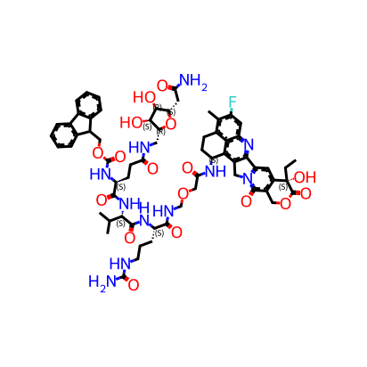 CC[C@@]1(O)C(=O)OCc2c1cc1n(c2=O)Cc2c-1nc1cc(F)c(C)c3c1c2[C@@H](NC(=O)COCNC(=O)[C@H](CCCNC(N)=O)NC(=O)[C@@H](NC(=O)[C@H](CCC(=O)NC[C@H]1O[C@@H](CC(N)=O)[C@H](O)[C@@H]1O)NC(=O)OCC1c2ccccc2-c2ccccc21)C(C)C)CC3